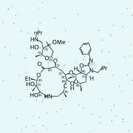 CCCNC[C@]1(O)[C@H](C)O[C@@H](O[C@H]2[C@H](C)[C@@H](O[C@@H]3O[C@H](C)C[C@H]4[C@H]3O/C(=N\c3ccccc3)N4CC(C)C)[C@](C)(O)C[C@@H](C)CN[C@H](C)[C@@H](O)[C@](C)(O)[C@@H](CC)OC(=O)[C@@H]2C)C[C@@]1(C)OC